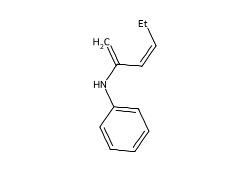 C=C(/C=C\CC)Nc1ccccc1